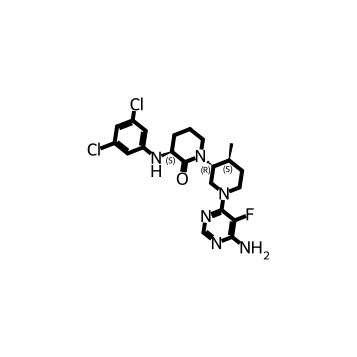 C[C@H]1CCN(c2ncnc(N)c2F)C[C@@H]1N1CCC[C@H](Nc2cc(Cl)cc(Cl)c2)C1=O